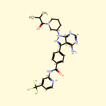 CC(C)C(=O)N1CCC[C@@H](n2nc(-c3ccc(C(=O)Nc4cc(C(F)(F)F)ccn4)cc3)c3c(N)ncnc32)C1